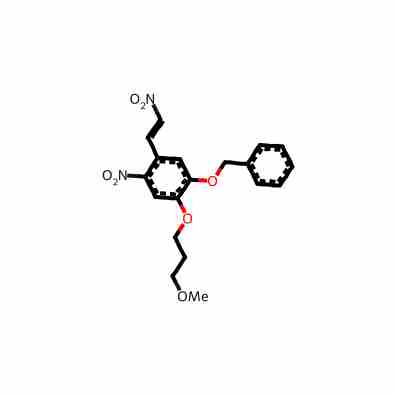 COCCCOc1cc([N+](=O)[O-])c(C=C[N+](=O)[O-])cc1OCc1ccccc1